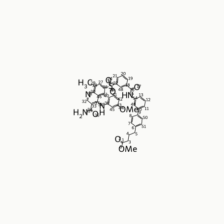 COC(=O)CCCc1ccc(-c2cccc(NC(=O)c3cccc(S(=O)(=O)c4cc(C)c5ncc(C(N)=O)c(Nc6cccc(OC)c6)c5c4)c3)c2)cc1